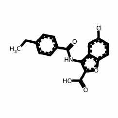 CCc1ccc(C(=O)Nc2c(C(=O)O)oc3ccc(Cl)cc23)cc1